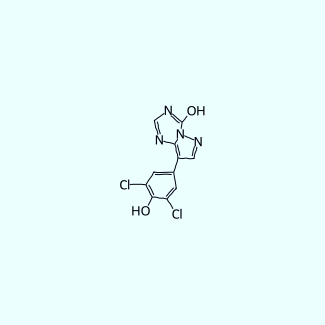 Oc1c(Cl)cc(-c2cnn3c(O)ncnc23)cc1Cl